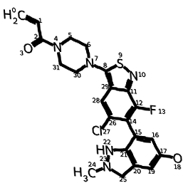 C=CC(=O)N1CCN(c2snc3c(F)c(-c4cc(O)cc5c4NN(C)C5)c(Cl)cc23)CC1